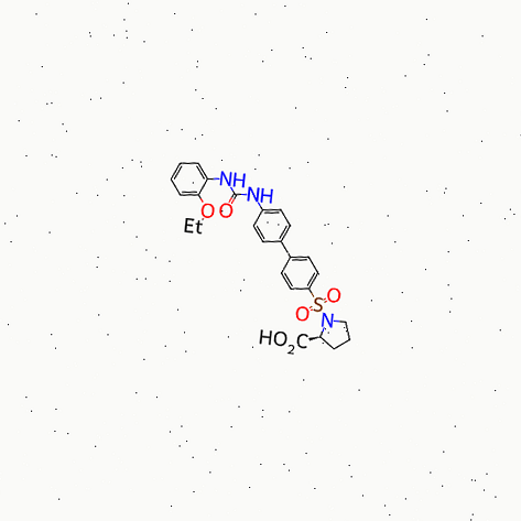 CCOc1ccccc1NC(=O)Nc1ccc(-c2ccc(S(=O)(=O)N3CCC[C@H]3C(=O)O)cc2)cc1